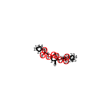 C=C(CC(=O)OCC(=O)OC1CCCC1)C(=O)OCC(=O)OC1CCCC1